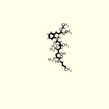 CCCCNC(=O)[C@H](C)C[C@H](O)[C@@H](N)CC(C)(C)CC(=O)N1C[C@@H]([C@H](OC)OCC)Cc2ccccc21